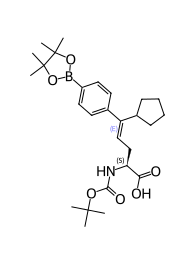 CC(C)(C)OC(=O)N[C@@H](C/C=C(/c1ccc(B2OC(C)(C)C(C)(C)O2)cc1)C1CCCC1)C(=O)O